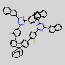 Fc1cc(-c2nc(-c3ccc4ccccc4c3)nc(-c3cccc4ccccc34)n2)ccc1-c1ccc2c(c1)-c1c(-c3ccc(-c4nc(-c5ccc6ccccc6c5)nc(-c5ccc6ccccc6c5)n4)cc3F)cccc1C21C2CC3CC(C2)CC1C3